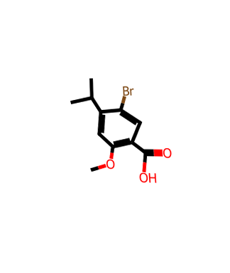 COc1cc(C(C)C)c(Br)cc1C(=O)O